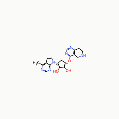 Cc1ncnc2c1ccn2[C@@H]1C[C@H](Oc2ncnc3c2CNCC3)C(O)C1O